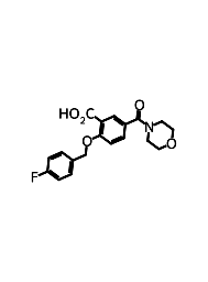 O=C(O)c1cc(C(=O)N2CCOCC2)ccc1OCc1ccc(F)cc1